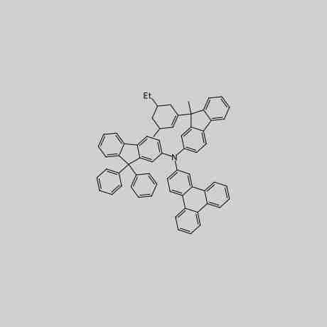 CCC1CC(C2(C)c3ccccc3-c3ccc(N(c4ccc5c(c4)C(c4ccccc4)(c4ccccc4)c4ccccc4-5)c4ccc5c6ccccc6c6ccccc6c5c4)cc32)=CC(C)C1